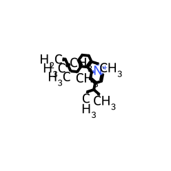 C=CC(C)(C)C(C)C(C)C1=CCCC2=C1C1C=C(C(CC)CC)C=C[N+]1(C)C2